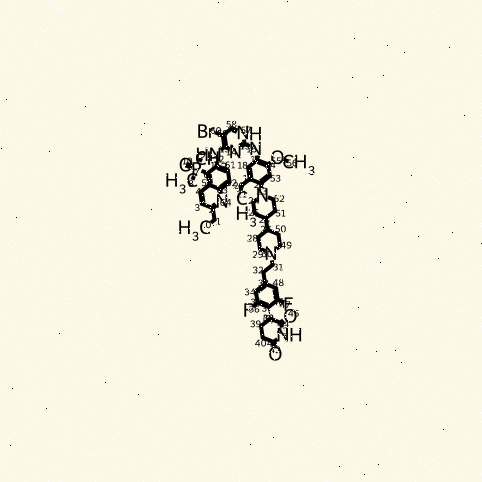 CCc1ccc2c(P(C)(C)=O)c(Nc3nc(Nc4cc(CC)c(N5CCC(C6CCN(CCc7cc(F)c([C@H]8CCC(=O)NC8=O)c(F)c7)CC6)CC5)cc4OC)ncc3Br)ccc2n1